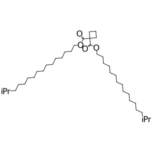 CC(C)CCCCCCCCCCCCCCOC(=O)C1(C(=O)OCCCCCCCCCCCCCCC(C)C)CCC1